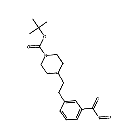 CC(C)(C)OC(=O)N1CCC(CCc2cccc(C(=O)N=O)c2)CC1